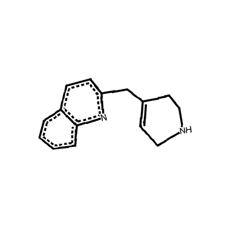 C1=C(Cc2ccc3ccccc3n2)CCNC1